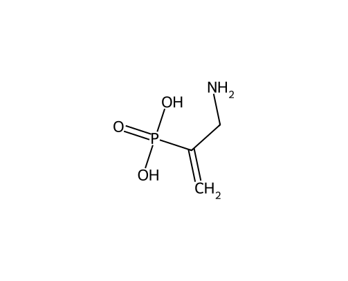 C=C(CN)P(=O)(O)O